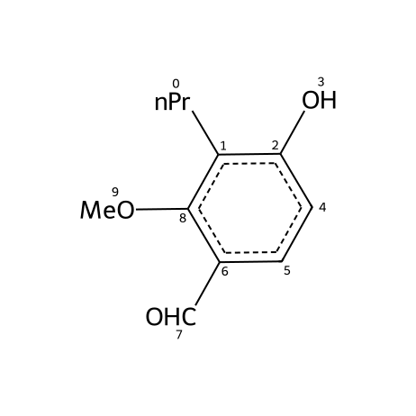 CCCc1c(O)ccc(C=O)c1OC